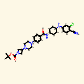 CC(C)(C)OC(=O)N1CC(N2CCN(c3ccc(C(=O)N[C@H]4CC[C@H](Nc5ccc(C#N)c(Cl)c5)CC4)cc3)CC2)C1